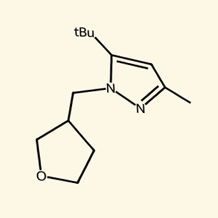 Cc1cc(C(C)(C)C)n(CC2CCOC2)n1